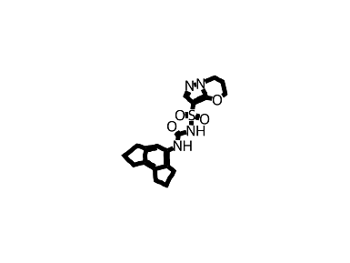 O=C(Nc1cc2c(c3c1CCC3)CCC2)NS(=O)(=O)c1cnn2c1OCCC2